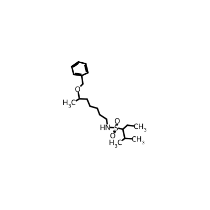 CCC(C(C)C)S(=O)(=O)NCCCCCC(C)OCc1ccccc1